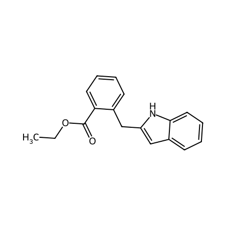 CCOC(=O)c1ccccc1Cc1cc2ccccc2[nH]1